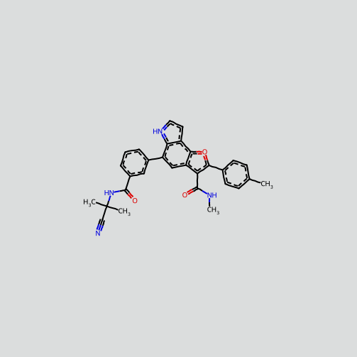 CNC(=O)c1c(-c2ccc(C)cc2)oc2c1cc(-c1cccc(C(=O)NC(C)(C)C#N)c1)c1[nH]ccc12